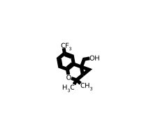 CC1(C)Oc2ccc(C(F)(F)F)cc2C2(CO)CC12